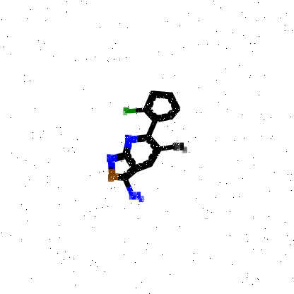 Cc1cc2c(N)snc2nc1-c1ccccc1F